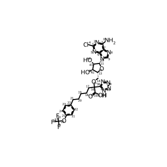 Nc1nc(Cl)nc2c1ncn2[C@@H]1O[C@H](COC(CCCCCc2ccc(OC(F)(F)F)cc2)(C(=O)O)c2nnn[nH]2)[C@@H](O)[C@H]1O